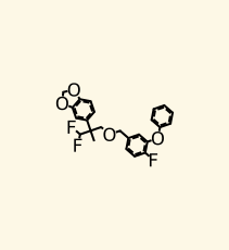 CC(COCc1ccc(F)c(Oc2ccccc2)c1)(c1ccc2c(c1)OCO2)C(F)F